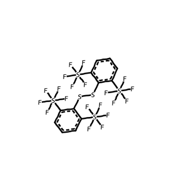 FS(F)(F)(F)(F)c1cccc(S(F)(F)(F)(F)F)c1SSc1c(S(F)(F)(F)(F)F)cccc1S(F)(F)(F)(F)F